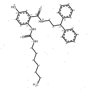 CCCCCCCNC(=O)Nc1ccc(O)cc1C(=O)NCCC(c1ccccc1)c1ccccc1